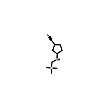 C[Si](C)(C)CNC1CCC(C#N)C1